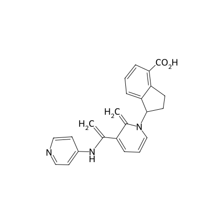 C=C(Nc1ccncc1)C1=CC=CN(C2CCc3c(C(=O)O)cccc32)C1=C